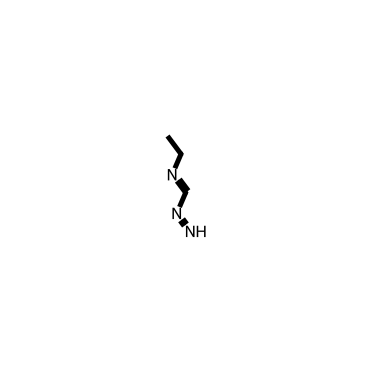 CCN=CN=N